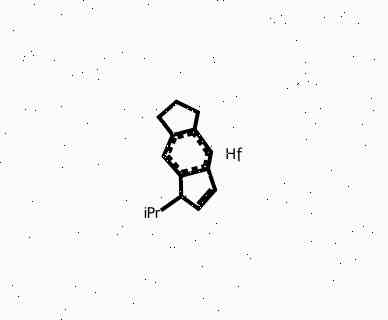 CC(C)[C]1C=Cc2cc3c(cc21)CCC3.[Hf]